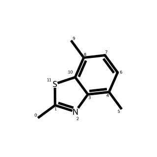 Cc1nc2c(C)ccc(C)c2s1